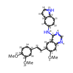 COc1cc2ncnc(Nc3ccc4[nH]ccc4c3)c2cc1/C=C/c1ccc(OC)c(OC)c1